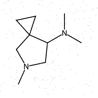 CN1CC(N(C)C)C2(CC2)C1